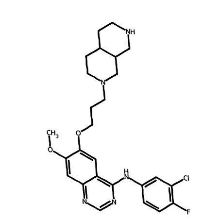 COc1cc2ncnc(Nc3ccc(F)c(Cl)c3)c2cc1OCCCN1CCC2CCNCC2C1